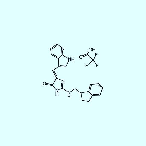 O=C(O)C(F)(F)F.O=C1NC(NCC2CCc3ccccc32)=NC1=Cc1c[nH]c2ncccc12